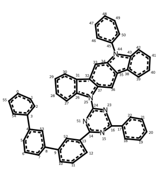 c1ccc(-c2cccc(-c3cccc(-c4nc(-c5ccccc5)nc(-n5c6ccccc6c6cc7c(cc65)c5ccccc5n7-c5ccccc5)n4)c3)c2)cc1